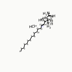 CCCCCCCCCCCCC/C=C/C(O)C(N)(CO)NC(=N)N.Cl